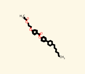 C=CC(=O)OCCCOc1ccc(C(=O)Oc2ccc(C3CCC(CCCCCCC)CC3)cc2)cc1